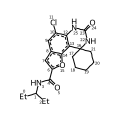 CCC(CC)NC(=O)c1cc2cc(Cl)c3c(c2o1)C1(CCCCC1)NC(=O)N3